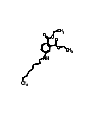 CCCCCCCCNc1ccc(C(=O)OCC)c(C(=O)OCC)c1